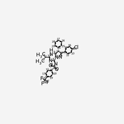 CC(C)/C(N)=N/C(=N\S(=O)(=O)c1ccc(C(F)(F)F)cc1)N1C[C@H](c2ccccc2)C(c2ccc(Cl)cc2)=N1